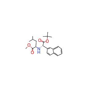 COC(=O)C(CC(C)C)N[C@H](C(=O)OC(C)(C)C)c1ccc2ccccc2c1